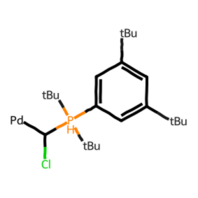 CC(C)(C)c1cc(C(C)(C)C)cc([PH]([CH](Cl)[Pd])(C(C)(C)C)C(C)(C)C)c1